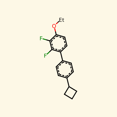 CCOc1ccc(-c2ccc(C3CCC3)cc2)c(F)c1F